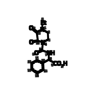 CCN1CCN(C(=O)NC(C(=O)O)c2ccccc2)C(=O)C1=O